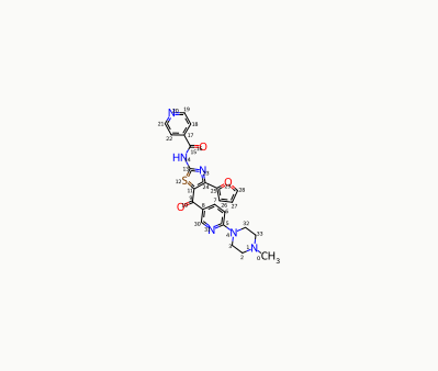 CN1CCN(c2ccc(C(=O)c3sc(NC(=O)c4ccncc4)nc3-c3ccco3)cn2)CC1